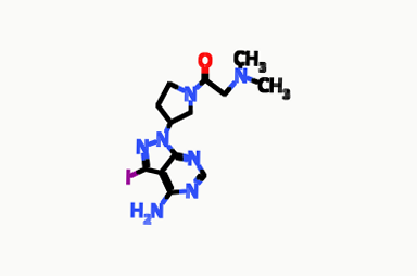 CN(C)CC(=O)N1CCC(n2nc(I)c3c(N)ncnc32)C1